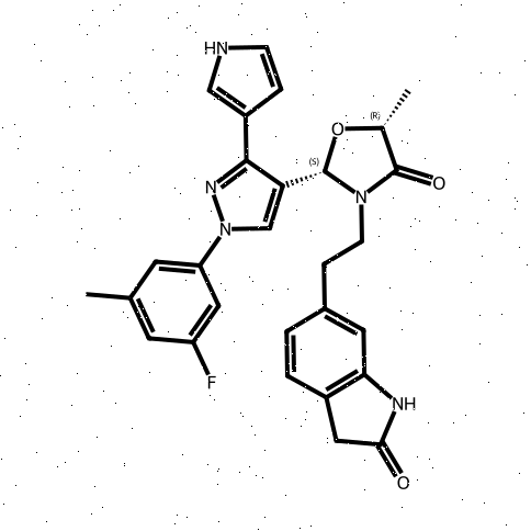 Cc1cc(F)cc(-n2cc([C@@H]3O[C@H](C)C(=O)N3CCc3ccc4c(c3)NC(=O)C4)c(-c3cc[nH]c3)n2)c1